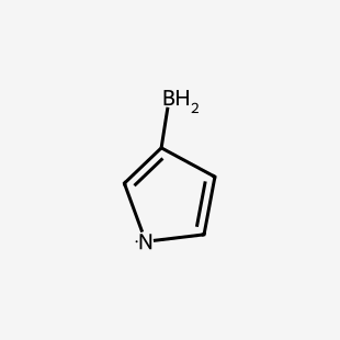 BC1=C[N]C=C1